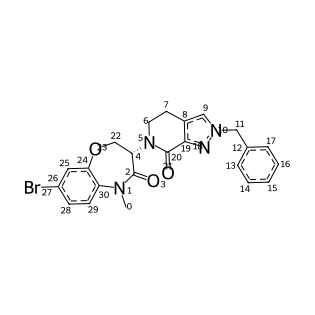 CN1C(=O)[C@@H](N2CCc3cn(Cc4ccccc4)nc3C2=O)COc2cc(Br)ccc21